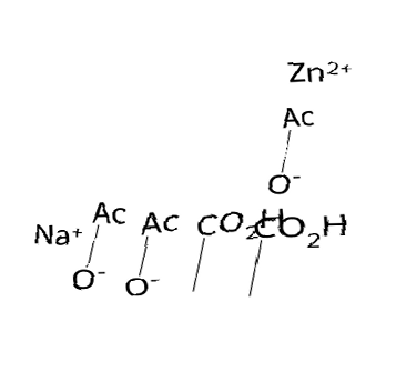 CC(=O)O.CC(=O)O.CC(=O)[O-].CC(=O)[O-].CC(=O)[O-].[Na+].[Zn+2]